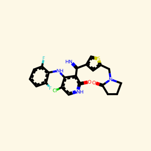 N=C(c1csc(CN2CCCC2=O)c1)c1c(Nc2c(F)cccc2F)c(Cl)c[nH]c1=O